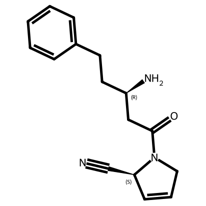 N#C[C@@H]1C=CCN1C(=O)C[C@H](N)CCc1ccccc1